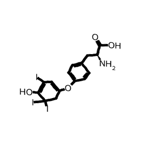 N[C@@H](Cc1ccc(OC2=CC(I)=C(O)C(I)(I)C2)cc1)C(=O)O